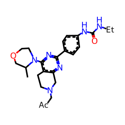 CCNC(=O)Nc1ccc(-c2nc3c(c(N4CCOCC4C)n2)CCN(CC(C)=O)C3)cc1